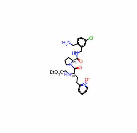 CCOC(=O)CN[C@H](CCc1cccc[n+]1[O-])C(=O)N1CCC[C@H]1C(=O)NCc1cc(Cl)ccc1CN